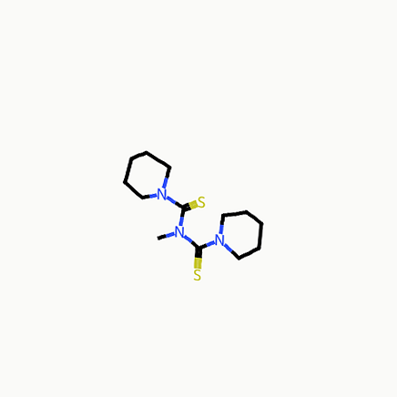 CN(C(=S)N1CCCCC1)C(=S)N1CCCCC1